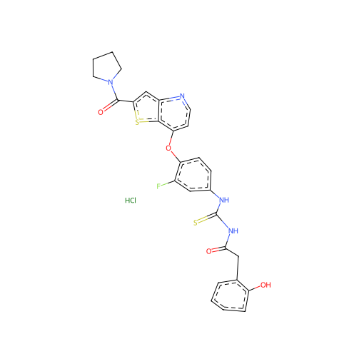 Cl.O=C(Cc1ccccc1O)NC(=S)Nc1ccc(Oc2ccnc3cc(C(=O)N4CCCC4)sc23)c(F)c1